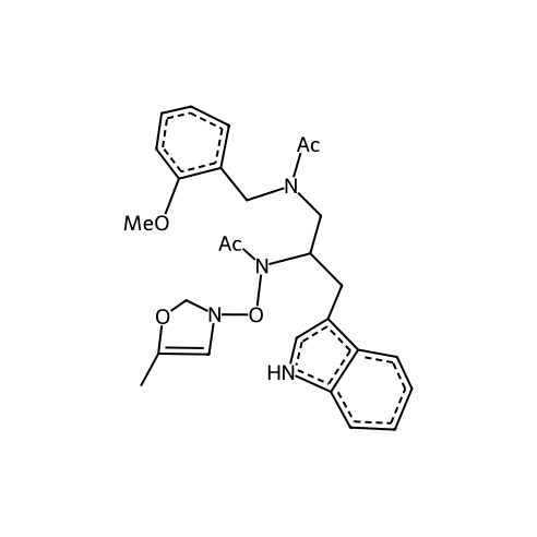 COc1ccccc1CN(CC(Cc1c[nH]c2ccccc12)N(ON1C=C(C)OC1)C(C)=O)C(C)=O